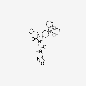 CN(C)[C@]1(c2ccccc2)CC[C@]2(CC1)CN(CC(=O)NCc1cocn1)C(=O)N2CC1CCC1